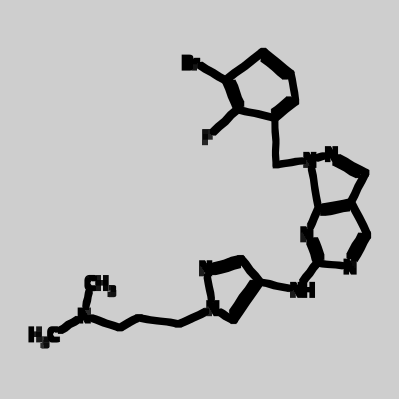 CN(C)CCCn1cc(Nc2ncc3cnn(Cc4cccc(Br)c4F)c3n2)cn1